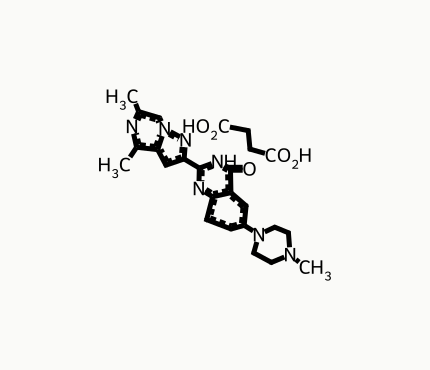 Cc1cn2nc(-c3nc4ccc(N5CCN(C)CC5)cc4c(=O)[nH]3)cc2c(C)n1.O=C(O)CCC(=O)O